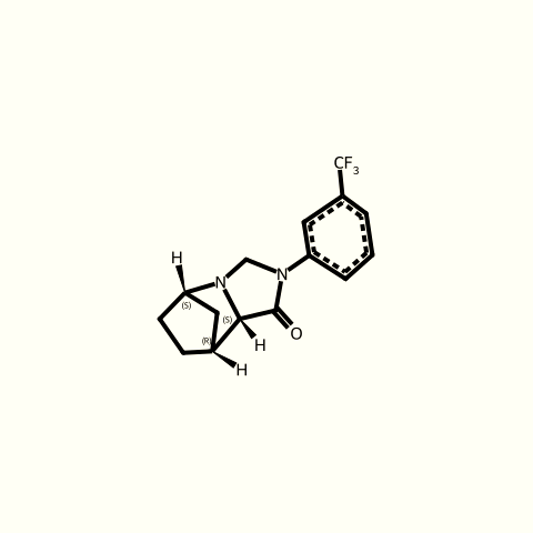 O=C1[C@@H]2[C@@H]3CC[C@@H](C3)N2CN1c1cccc(C(F)(F)F)c1